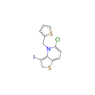 ClC1=CC=C2SCC(I)=C2N1Cc1cccs1